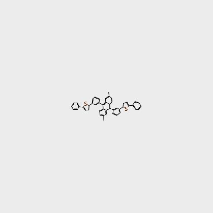 Cc1ccc2c(-c3cccc(C4CC=C(c5ccccc5)S4)c3)c3cc(C)ccc3c(-c3cccc(C4CC=C(c5ccccc5)S4)c3)c2c1